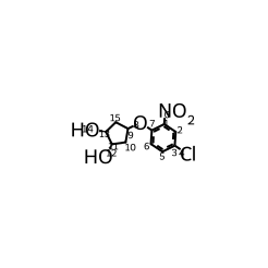 O=[N+]([O-])c1cc(Cl)ccc1OC1C[C@@H](O)[C@@H](O)C1